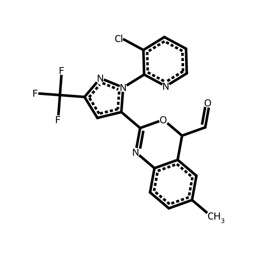 Cc1ccc2c(c1)C(C=O)OC(c1cc(C(F)(F)F)nn1-c1ncccc1Cl)=N2